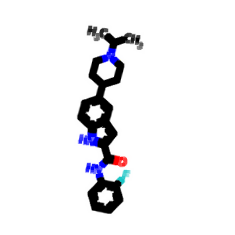 CC(C)N1CCC(c2ccc3[nH]c(C(=O)Nc4ccccc4F)cc3c2)CC1